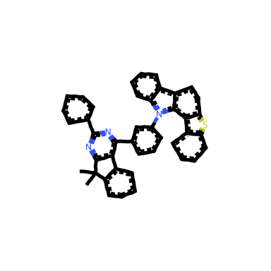 CC1(C)c2ccccc2-c2c(-c3cccc(-n4c5ccccc5c5ccc6sc7ccccc7c6c54)c3)nc(-c3ccccc3)nc21